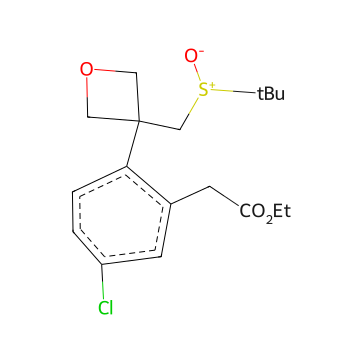 CCOC(=O)Cc1cc(Cl)ccc1C1(C[S+]([O-])C(C)(C)C)COC1